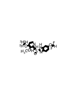 [2H]C([2H])([2H])Oc1ccnc(C([2H])([2H])[S+]([O-])c2nc3ccc(OC([2H])(F)F)cc3[nH]2)c1OC